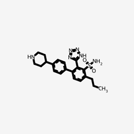 CCCc1ccc(-c2ccc(C3CCNCC3)cc2)c(-c2nnn[nH]2)c1S(N)(=O)=O